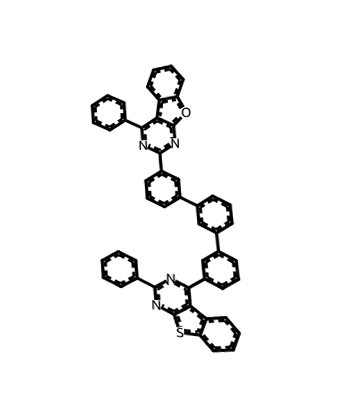 c1ccc(-c2nc(-c3cccc(-c4cccc(-c5cccc(-c6nc(-c7ccccc7)c7c(n6)oc6ccccc67)c5)c4)c3)c3c(n2)sc2ccccc23)cc1